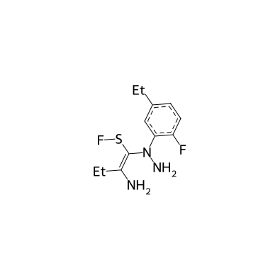 CC/C(N)=C(\SF)N(N)c1cc(CC)ccc1F